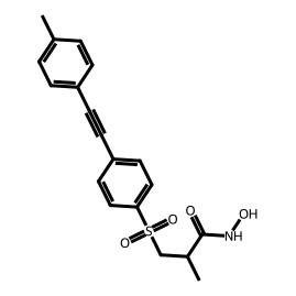 Cc1ccc(C#Cc2ccc(S(=O)(=O)CC(C)C(=O)NO)cc2)cc1